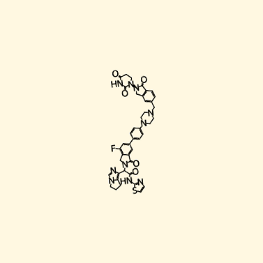 O=C1CCN(N2Cc3cc(CN4CCN(c5ccc(-c6cc(F)c7c(c6)C(=O)N(C(C(=O)Nc6nccs6)c6ncn8c6CCC8)C7)cc5)CC4)ccc3C2=O)C(=O)N1